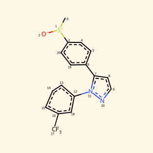 C[S+]([O-])c1ccc(-c2ccnn2-c2cccc(C(F)(F)F)c2)cc1